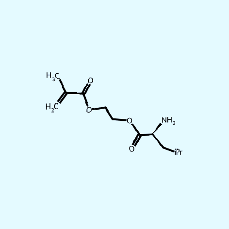 C=C(C)C(=O)OCCOC(=O)[C@@H](N)CC(C)C